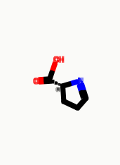 O=C(O)[C@H]1CCC=N1